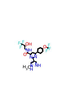 CN/C=C(\C=N)c1nc(C(=O)NC[C@H](O)C(F)(F)F)cc(-c2ccc(OC(F)(F)F)cc2)n1